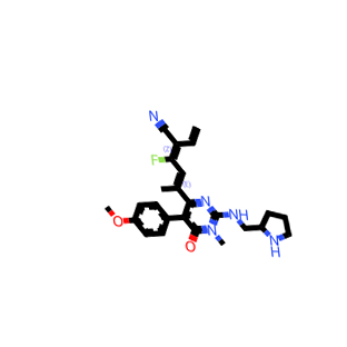 C=C/C(C#N)=C(F)\C=C(/C)c1nc(NCC2CCCN2)n(C)c(=O)c1-c1ccc(OC)cc1